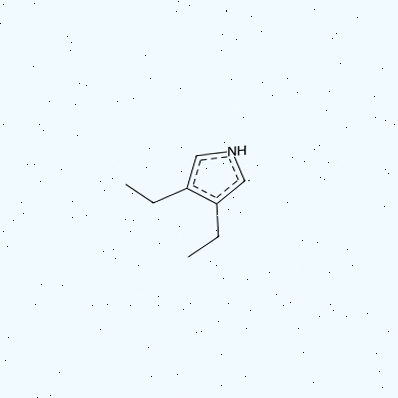 CCc1[c][nH]cc1CC